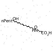 CCCCCC(O)C=CC=CCC=CCC=CCCCC(=O)NCCCC(=O)O